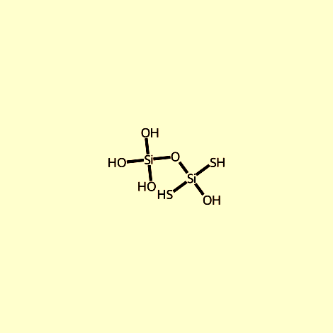 O[Si](O)(O)O[Si](O)(S)S